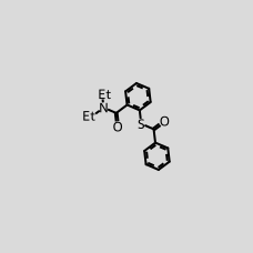 CCN(CC)C(=O)c1ccccc1SC(=O)c1ccccc1